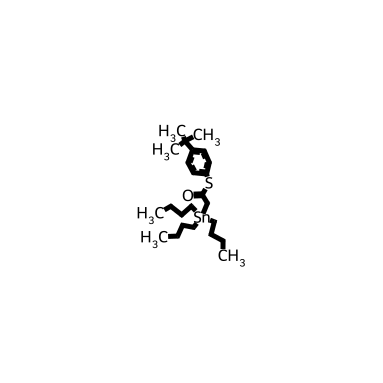 CCC[CH2][Sn]([CH2]CCC)([CH2]CCC)[CH2]C(=O)Sc1ccc(C(C)(C)C)cc1